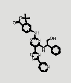 CC1(C)OC(=O)c2ccc(Nc3ncc(-c4nc(-c5cccnc5)no4)c(NC(CO)c4ccccc4)n3)cc21